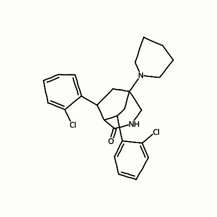 O=C1NCC2(N3CCCCC3)CC(c3ccccc3Cl)C1C(c1ccccc1Cl)C2